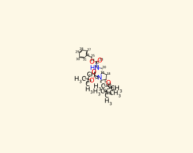 CC(C)(C)OC(=O)N1C[C@H](O[Si](C)(C)C(C)(C)C)C[C@H]1CNC(=O)OCc1ccccc1